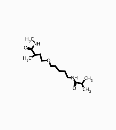 CNC(=O)C(C)CCOCCCCCNC(=O)C(C)C